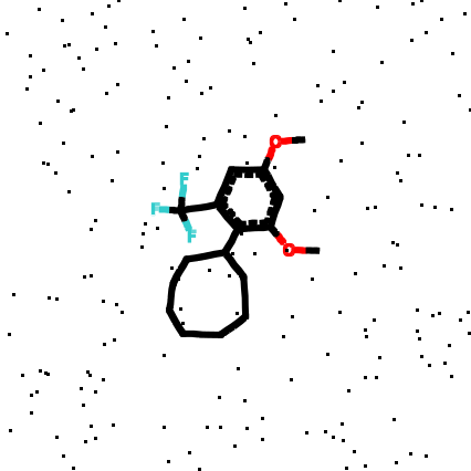 COc1cc(OC)c(C2CCCCCCC2)c(C(F)(F)F)c1